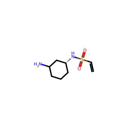 C=CS(=O)(=O)N[C@@H]1CCCC(N)C1